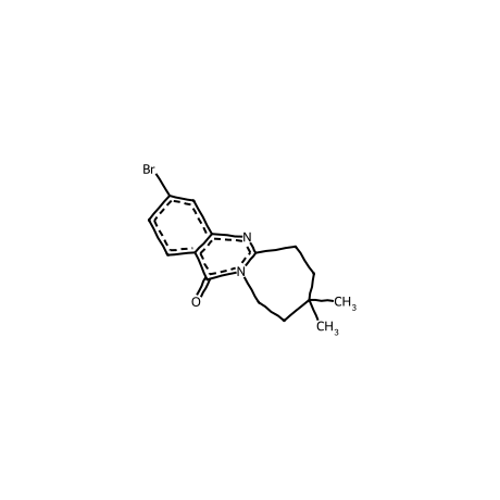 CC1(C)CCc2nc3cc(Br)ccc3c(=O)n2CC1